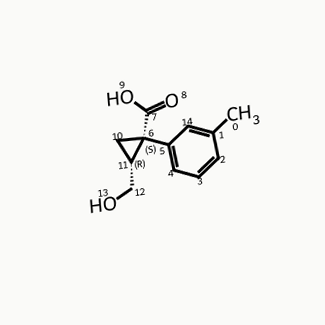 Cc1cccc([C@]2(C(=O)O)C[C@H]2CO)c1